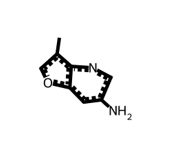 Cc1coc2cc(N)cnc12